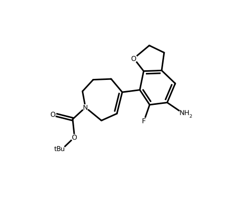 CC(C)(C)OC(=O)N1CC=C(c2c(F)c(N)cc3c2OCC3)CCC1